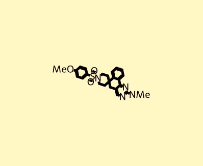 CNc1ncc2c(n1)-c1ccccc1C1(CCN(S(=O)(=O)c3ccc(OC)cc3)CC1)C2